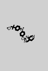 COCC(C)(C)c1ccc(N(C)c2ccc(Oc3ncc4ccncc4n3)cc2)cc1